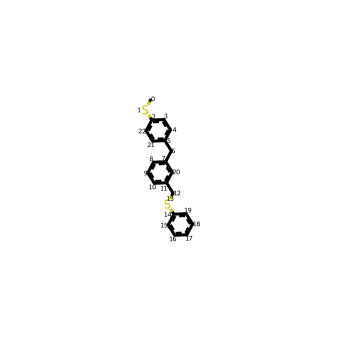 CSc1ccc(Cc2cccc(CSc3[c]cccc3)c2)cc1